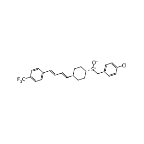 [O-][S+](Cc1ccc(Cl)cc1)[C@H]1CC[C@H](C=CC=Cc2ccc(C(F)(F)F)cc2)CC1